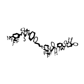 Cn1nc(N2CCC(=O)NC2=O)c2cccc(NC(=O)CN3CCN(CCCO[C@H]4CC[C@H](N5C(=S)N(c6ccc(C#N)c(C(F)(F)F)c6)C(=O)C5(C)C)CC4)C[C@@H]3C(F)(F)F)c21